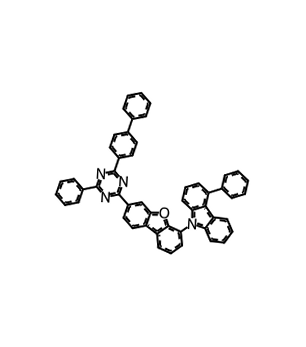 c1ccc(-c2ccc(-c3nc(-c4ccccc4)nc(-c4ccc5c(c4)oc4c(-n6c7ccccc7c7c(-c8ccccc8)cccc76)cccc45)n3)cc2)cc1